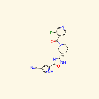 N#Cc1c[nH]c(C2=NC([C@H]3CCCN(C(=O)c4ccncc4F)C3)NO2)c1